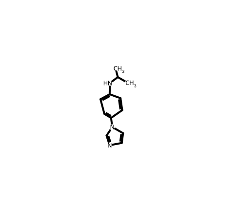 CC(C)Nc1ccc(-n2ccnc2)cc1